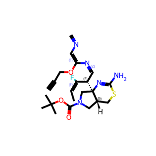 C#CCOC(=C/N=C)/N=C\[C@@H](/C(F)=C\C)C12CN(C(=O)OC(C)(C)C)C[C@H]1CSC(N)=N2